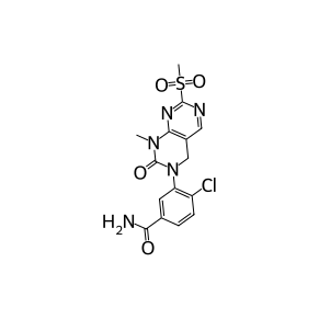 CN1C(=O)N(c2cc(C(N)=O)ccc2Cl)Cc2cnc(S(C)(=O)=O)nc21